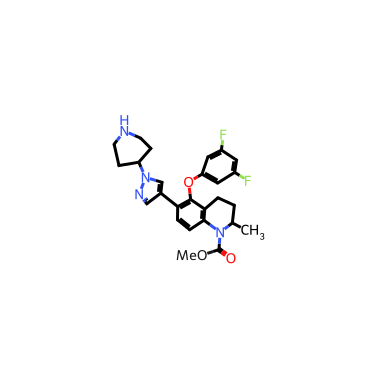 COC(=O)N1c2ccc(-c3cnn(C4CCNCC4)c3)c(Oc3cc(F)cc(F)c3)c2CCC1C